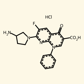 Cl.NC1CCN(c2nc3c(cc2F)c(=O)c(C(=O)O)cn3-c2ccccc2)C1